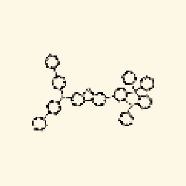 c1ccc(-c2ccc(N(c3ccc(-c4ccccc4)cc3)c3ccc4c(c3)oc3cc(-c5ccc6c(c5)N(c5ccccc5)c5ccccc5[Si]6(c5ccccc5)c5ccccc5)ccc34)cc2)cc1